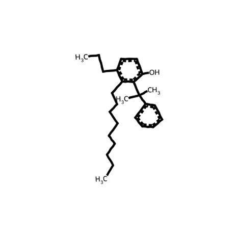 CCCCCCCCCc1c(CCC)ccc(O)c1C(C)(C)c1ccccc1